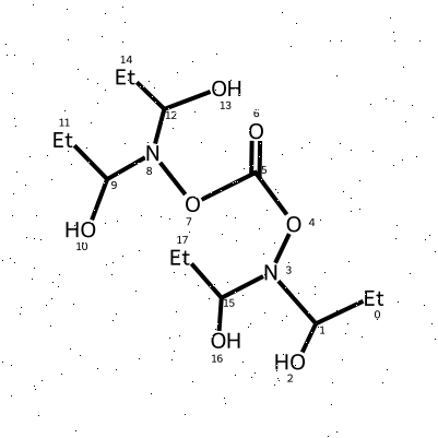 CCC(O)N(OC(=O)ON(C(O)CC)C(O)CC)C(O)CC